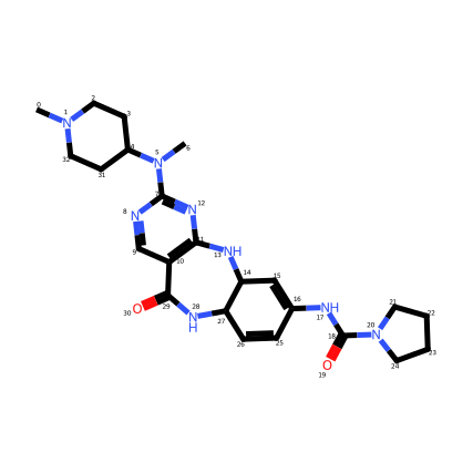 CN1CCC(N(C)c2ncc3c(n2)NC2C=C(NC(=O)N4CCCC4)C=CC2NC3=O)CC1